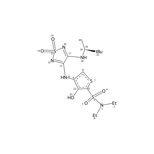 CCN(CC)S(=O)(=O)c1scc(NC2=NS(=O)(=O)N=C2N[C@@H](C)C(C)(C)C)c1O